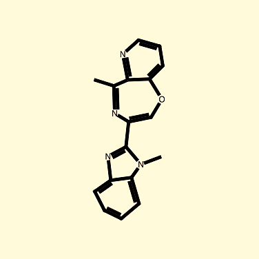 CC1=NC(c2nc3ccccc3n2C)=COc2cccnc21